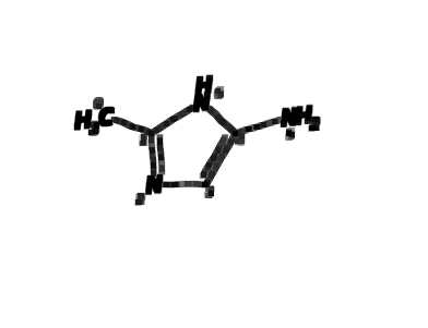 Cc1ncc(N)[nH]1